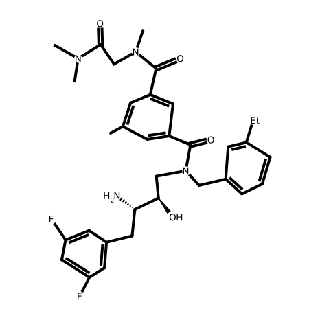 CCc1cccc(CN(C[C@@H](O)[C@@H](N)Cc2cc(F)cc(F)c2)C(=O)c2cc(C)cc(C(=O)N(C)CC(=O)N(C)C)c2)c1